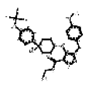 CCOC(=O)c1nnn(Cc2ccc(OC)cc2)c1O[C@H]1CC[C@@](C)(c2ccc(OC(F)(F)F)cc2)CC1